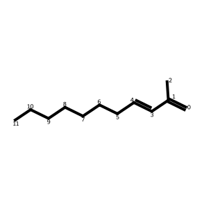 C=C(C)C=CCCCCCCC